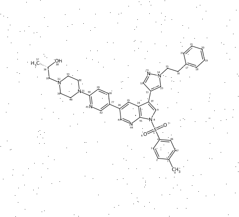 Cc1ccc(S(=O)(=O)n2cc(-c3cnn(CCc4ccccc4)c3)c3cc(-c4ccc(N5CCN(C[C@H](C)O)CC5)nc4)cnc32)cc1